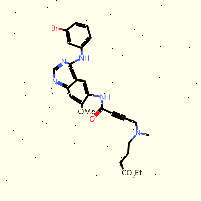 CCOC(=O)CCCN(C)CC#CC(=O)Nc1cc2c(Nc3cccc(Br)c3)ncnc2cc1OC